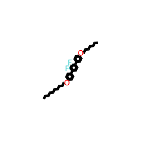 CCCCCCCCCCOc1ccc(-c2ccc(-c3ccc(OCCCCCCC)cc3)c(F)c2F)cc1